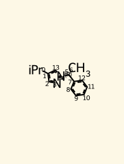 CC(C)c1cnn([C@H](C)c2ccccc2)c1